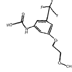 COCCOc1cc(NC(=O)O)cc(C(F)(F)F)c1